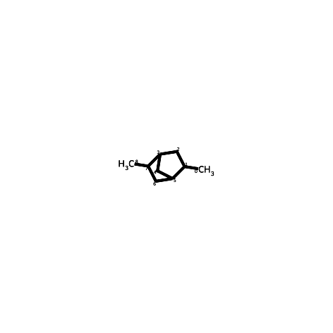 CC1CC2CC1CC2C